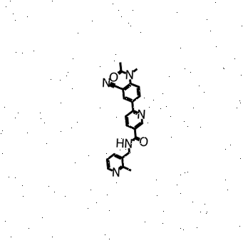 CC(=O)N(C)c1ccc(-c2ccc(C(=O)NCc3cccnc3C)cn2)cc1C#N